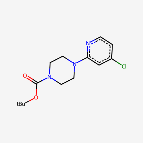 CC(C)(C)OC(=O)N1CCN(c2cc(Cl)ccn2)CC1